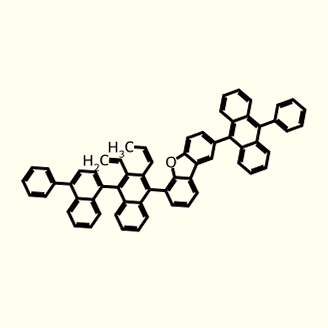 C=Cc1c(/C=C\C)c(-c2cccc3c2oc2ccc(-c4c5ccccc5c(-c5ccccc5)c5ccccc45)cc23)c2ccccc2c1-c1ccc(-c2ccccc2)c2ccccc12